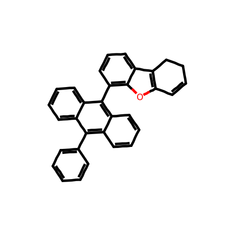 C1=Cc2oc3c(-c4c5ccccc5c(-c5ccccc5)c5ccccc45)cccc3c2CC1